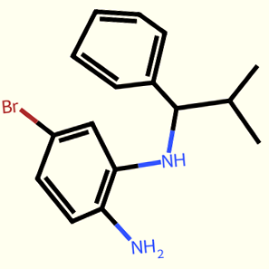 CC(C)C(Nc1cc(Br)ccc1N)c1ccccc1